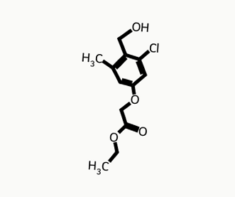 CCOC(=O)COc1cc(C)c(CO)c(Cl)c1